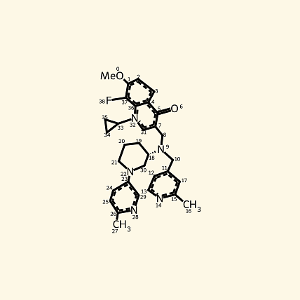 COc1ccc2c(=O)c(CN(Cc3ccnc(C)c3)[C@H]3CCCN(c4ccc(C)nc4)C3)cn(C3CC3)c2c1F